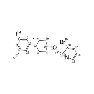 Fc1cc(F)cc([C@H]2CC[C@@H](OCc3ncccc3Br)CC2)c1